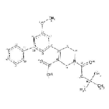 COc1cc(C2=C(C(=O)O)CN(C(=O)OC(C)(C)C)CC2)cc(-c2ccccc2)c1